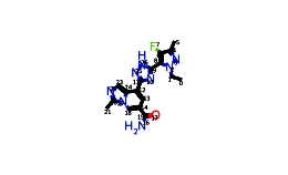 CCn1nc(C)c(F)c1-c1nc(-c2cc(C(N)=O)cn3c(C)ncc23)n[nH]1